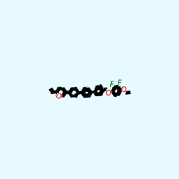 C=CC1CCC(C2CCC(c3ccc(-c4ccc(COc5ccc(OCC)c(F)c5F)cc4)cc3)CC2)CO1